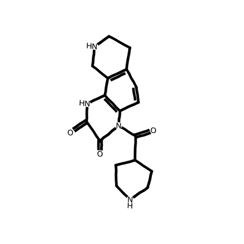 O=C(C1CCNCC1)n1c(=O)c(=O)[nH]c2c3c(ccc21)CCNC3